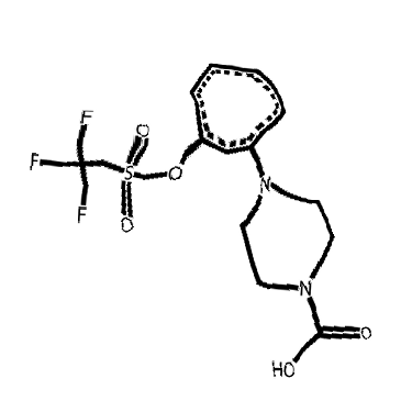 O=C(O)N1CCN(c2ccccc2OS(=O)(=O)C(F)(F)F)CC1